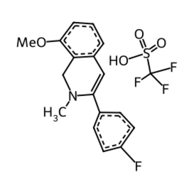 COc1cccc2c1CN(C)C(c1ccc(F)cc1)=C2.O=S(=O)(O)C(F)(F)F